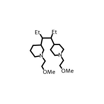 [CH2]CC(C1CCN(CCOC)CC1)C(CC)C1CCCN(CCOC)C1